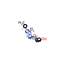 Cc1ccc(N2CCN(c3nccc(C(=O)N[C@H]4C5CC6CC4C[C@](O)(C6)C5)n3)[C@@H](C)C2)c(F)c1